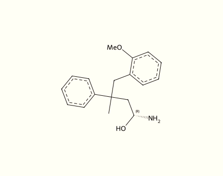 COc1ccccc1CC(C)(C[C@H](N)O)c1ccccc1